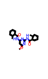 COc1cc(NC(=O)c2ccccc2C)nc(NC(=O)c2ccccc2C)n1